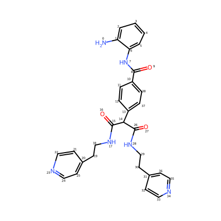 Nc1ccccc1NC(=O)c1ccc(C(C(=O)NCCc2ccncc2)C(=O)NCCc2ccncc2)cc1